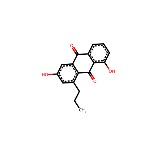 CCCc1cc(O)cc2c1C(=O)c1c(O)cccc1C2=O